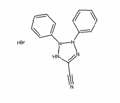 Br.N#CC1=NN(c2ccccc2)N(c2ccccc2)N1